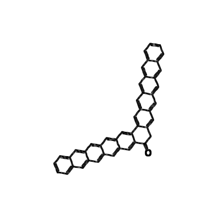 O=C1Cc2cc3cc4cc5cc6ccccc6cc5cc4cc3cc2-c2cc3cc4cc5cc6ccccc6cc5cc4cc3cc21